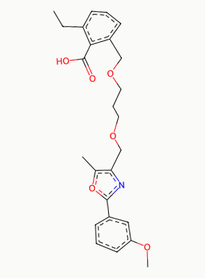 CCc1cccc(COCCCOCc2nc(-c3cccc(OC)c3)oc2C)c1C(=O)O